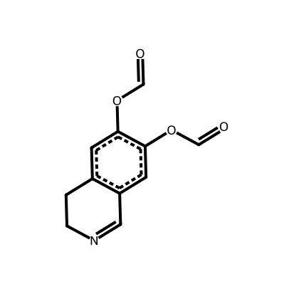 O=COc1cc2c(cc1OC=O)CCN=C2